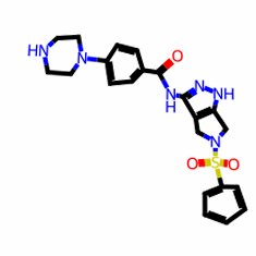 O=C(Nc1n[nH]c2c1CN(S(=O)(=O)c1ccccc1)C2)c1ccc(N2CCNCC2)cc1